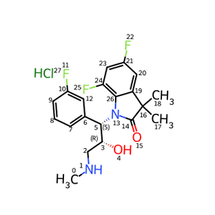 CNC[C@@H](O)[C@H](c1cccc(F)c1)N1C(=O)C(C)(C)c2cc(F)cc(F)c21.Cl